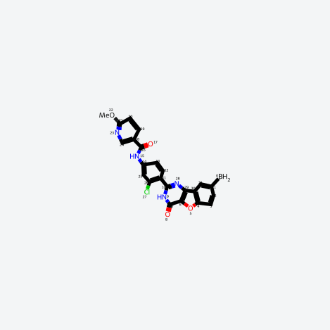 Bc1ccc2oc3c(=O)[nH]c(-c4ccc(NC(=O)c5ccc(OC)nc5)cc4Cl)nc3c2c1